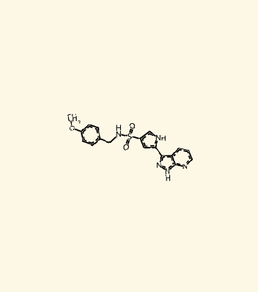 COc1ccc(CNS(=O)(=O)c2c[nH]c(-c3n[nH]c4ncccc34)c2)cc1